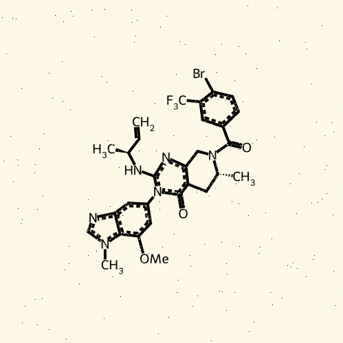 C=C[C@H](C)Nc1nc2c(c(=O)n1-c1cc(OC)c3c(c1)ncn3C)C[C@@H](C)N(C(=O)c1ccc(Br)c(C(F)(F)F)c1)C2